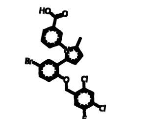 Cc1ccc(-c2cc(Br)ccc2OCc2cc(F)c(Cl)cc2Cl)n1-c1cccc(C(=O)O)c1